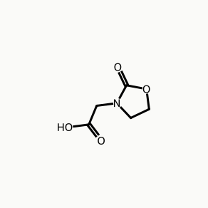 O=C(O)CN1CCOC1=O